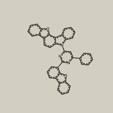 c1ccc(-c2cc(-n3c4ccccc4c4c5oc6ccccc6c5ccc43)nc(-c3cccc4c3sc3ccccc34)n2)cc1